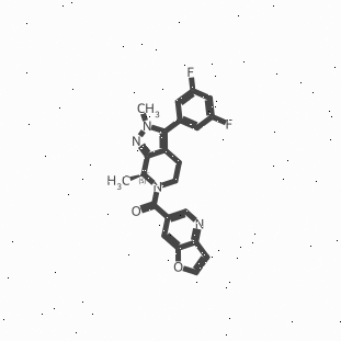 C[C@H]1c2nn(C)c(-c3cc(F)cc(F)c3)c2CCN1C(=O)c1cnc2ccoc2c1